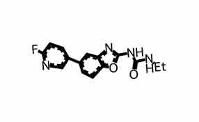 CCNC(=O)Nc1nc2cc(-c3ccc(F)nc3)ccc2o1